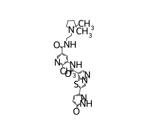 Cc1ncc(C(=O)NCCN2CCCC2(C)C)cc1NC(=O)c1cnn2cc(-c3ccc(=O)[nH]n3)sc12